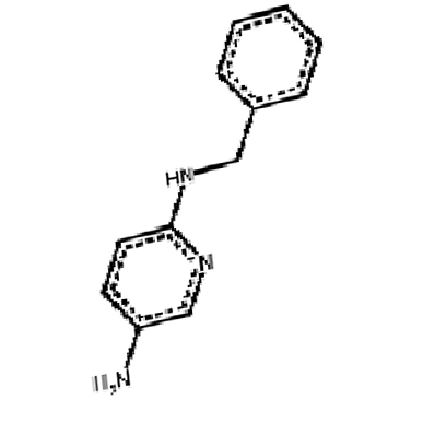 Nc1ccc(NCc2ccccc2)nc1